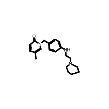 Cc1ccc(=O)n(Cc2ccc(NCCN3CCCCC3)cc2)c1